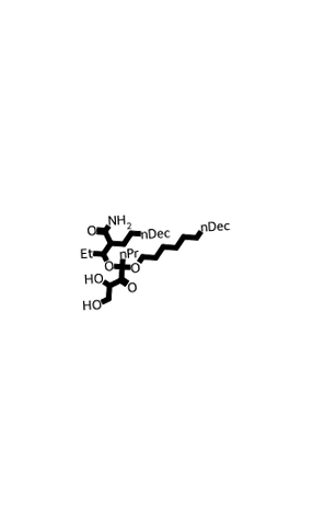 CCCCCCCCCCCCCCCCOC(CCC)(OC(CC)C(CCCCCCCCCCCC)C(N)=O)C(=O)C(O)CO